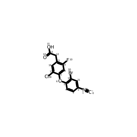 [C-]#[N+]c1ccc(Oc2cc(F)c(CC(=O)O)cc2Cl)c(Br)c1